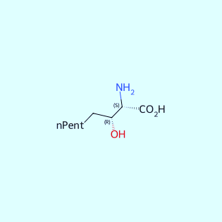 CCCCCC[C@@H](O)[C@H](N)C(=O)O